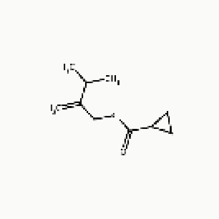 C=C(COC(=O)C1CC1)C(C)C